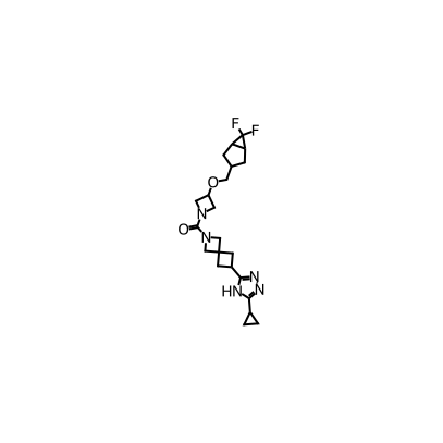 O=C(N1CC(OCC2CC3C(C2)C3(F)F)C1)N1CC2(CC(c3nnc(C4CC4)[nH]3)C2)C1